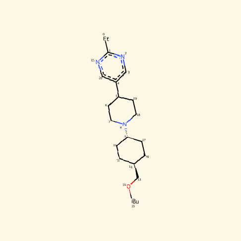 CCc1ncc(C2CCN([C@H]3CC[C@H](COC(C)CC)CC3)CC2)cn1